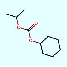 C[C](C)OC(=O)OC1CCCCC1